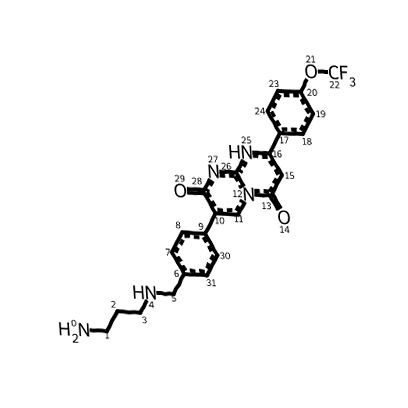 NCCCNCc1ccc(-c2cn3c(=O)cc(-c4ccc(OC(F)(F)F)cc4)[nH]c3nc2=O)cc1